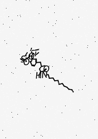 CCCCCCCCCCCCNC(=O)C(CC)CC(C)Cc1ccc(O[Si](CC)(CC)CC)c(O[Si](CC)(CC)CC)c1